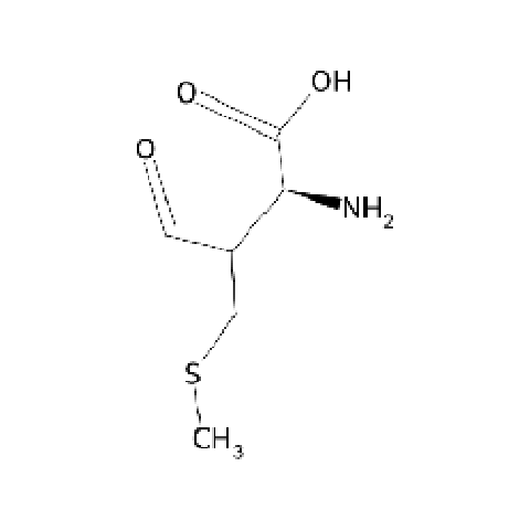 CSCC(C=O)[C@H](N)C(=O)O